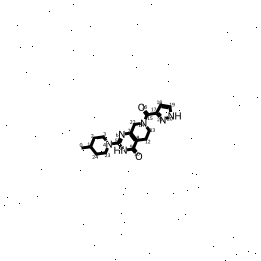 CC1CCN(c2nc3c(c(=O)[nH]2)CCN(C(=O)c2cc[nH]n2)C3)CC1